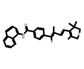 CC1=C(/C=C/C(C)=C(\F)c2ccc(C(=O)Nc3cccc4ccccc34)cc2)C(C)(C)CCC1